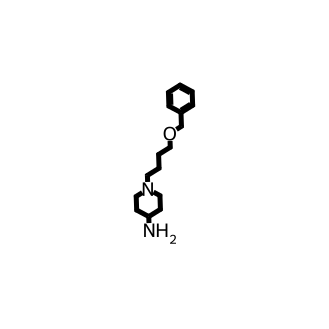 NC1CCN(CCCCOCc2ccccc2)CC1